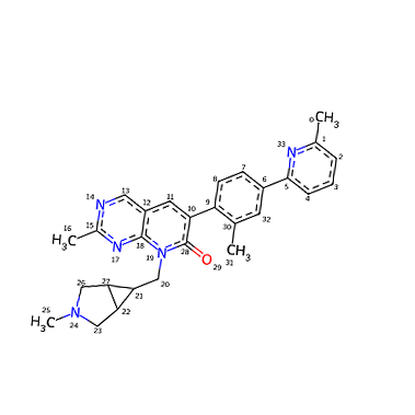 Cc1cccc(-c2ccc(-c3cc4cnc(C)nc4n(CC4C5CN(C)CC54)c3=O)c(C)c2)n1